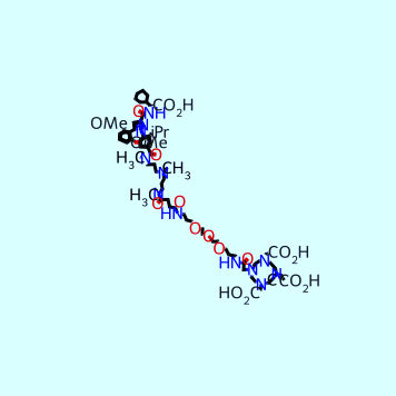 COc1cccc(OC)c1-c1cc(C(=O)N[C@H](C(=O)O)C2CCCCC2)nn1-c1ccc(C(=O)N(C)CCCN(C)CCCN(C)C(=O)CCC(=O)NCCCOCCOCCOCCCNC(=O)CN2CCN(CC(=O)O)CCN(CC(=O)O)CCN(CC(=O)O)CC2)cc1C(C)C